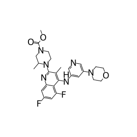 COC(=O)N1CCN(c2nc3cc(F)cc(F)c3c(Nc3cncc(N4CCOCC4)c3)c2C)C(C)C1